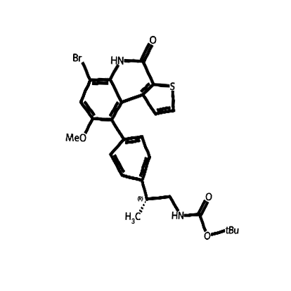 COc1cc(Br)c2[nH]c(=O)c3sccc3c2c1-c1ccc([C@@H](C)CNC(=O)OC(C)(C)C)cc1